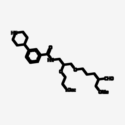 CCCCCCCCCCCCOC(CNC(=O)c1cccc(C2CCNCC2)c1)COCCCC(C=O)COC